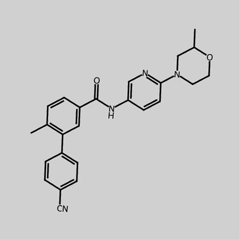 Cc1ccc(C(=O)Nc2ccc(N3CCOC(C)C3)nc2)cc1-c1ccc(C#N)cc1